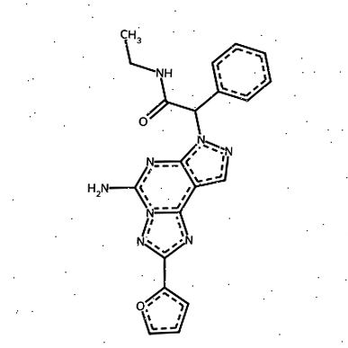 CCNC(=O)C(c1ccccc1)n1ncc2c1nc(N)n1nc(-c3ccco3)nc21